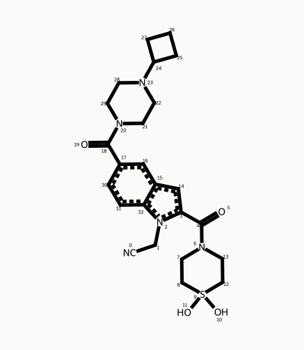 N#CCn1c(C(=O)N2CCS(O)(O)CC2)cc2cc(C(=O)N3CCN(C4CCC4)CC3)ccc21